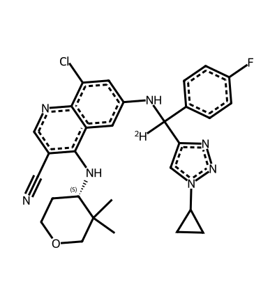 [2H]C(Nc1cc(Cl)c2ncc(C#N)c(N[C@H]3CCOCC3(C)C)c2c1)(c1ccc(F)cc1)c1cn(C2CC2)nn1